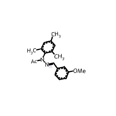 COc1cccc(/C=N/N(C(C)=O)c2c(C)cc(C)cc2C)c1